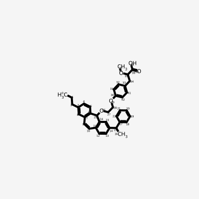 CCCc1ccc2c(c1)C=Cc1ccc(C(C)c3ccccc3)cc1C2OCCOc1ccc(CC(OC)C(=O)O)cc1